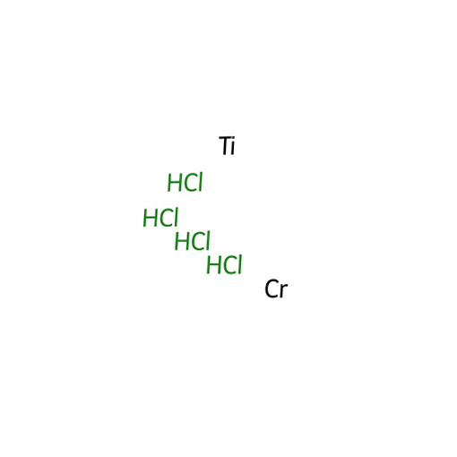 Cl.Cl.Cl.Cl.[Cr].[Ti]